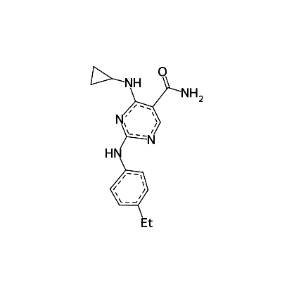 CCc1ccc(Nc2ncc(C(N)=O)c(NC3CC3)n2)cc1